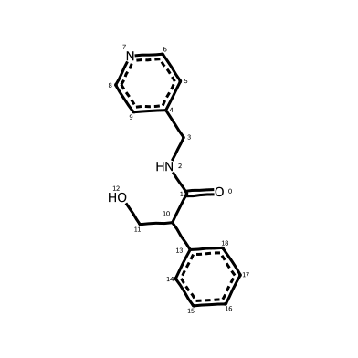 O=C(NCc1ccncc1)C(CO)c1ccccc1